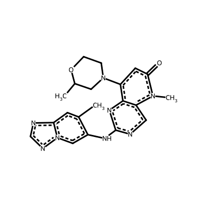 Cc1cc2ncnn2cc1Nc1ncc2c(n1)c(N1CCOC(C)C1)cc(=O)n2C